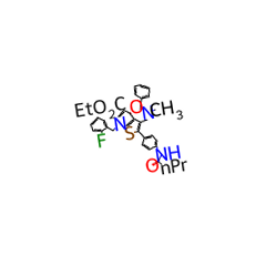 CCCC(=O)Nc1ccc(-c2sc3c(c2CN(C)Cc2ccccc2)c(=O)c(C(=O)OCC)cn3Cc2ccccc2F)cc1